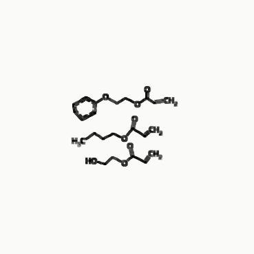 C=CC(=O)OCCCC.C=CC(=O)OCCO.C=CC(=O)OCCOc1ccccc1